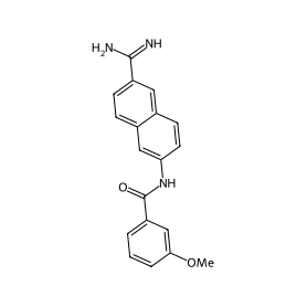 COc1cccc(C(=O)Nc2ccc3cc(C(=N)N)ccc3c2)c1